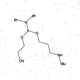 CC(C)N(C(C)C)P(OCCC#N)OCCCNC(C)(C)C